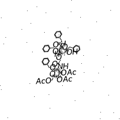 CC(=O)OC[C@H]1O[C@H](OCc2ccccc2)[C@@H](NC(=O)CO[C@@H]2[CH][C@](O)(Cc3ccccc3)O[C@H]3[C@H]2OC(c2ccccc2)O[C@@H]3Cc2ccccc2)[C@@H](OC(C)=O)[C@@H]1OC(C)=O